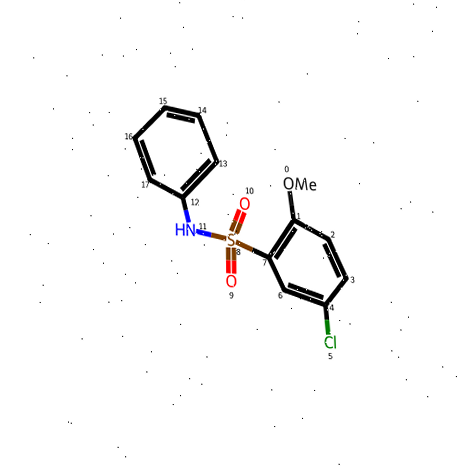 COc1ccc(Cl)cc1S(=O)(=O)Nc1ccccc1